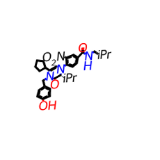 CC(C)CNC(=O)c1ccc(N2C=C(C3CCCC3)N(Cc3ccc(O)cc3)C(=O)[C@H]2C(C)C)c([N+](=O)[O-])c1